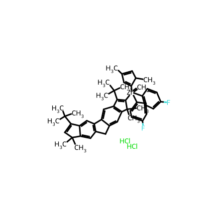 Cl.Cl.[CH2]=[Zr]([C]1=CC(C)=CC1C)([C]1=C(C(C)(C)C)c2cc3c(cc2C1(C)C)Cc1cc2c(cc1-3)C(C(C)(C)C)=CC2(C)C)([c]1ccc(F)cc1)[c]1ccc(F)cc1